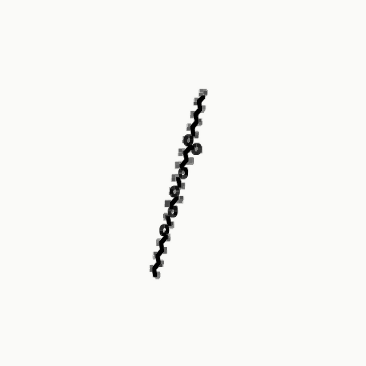 CCCCCCCOCCOCCOCCOCCCC(=O)OCCCCCCC